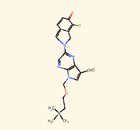 C[Si](C)(C)CCOCn1cc(C=O)c2nc(N3C=C4C=CC(=O)C(Cl)=C4C3)cnc21